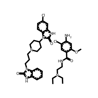 CCN(CC)CCNC(=O)c1cc(Cl)c(N)cc1OC.O=c1[nH]c2ccccc2n1CCCN1CCC(n2c(=O)[nH]c3cc(Cl)ccc32)CC1